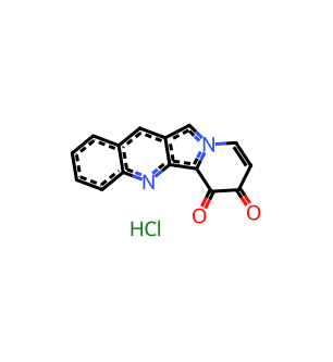 Cl.O=C1C=Cn2cc3cc4ccccc4nc3c2C1=O